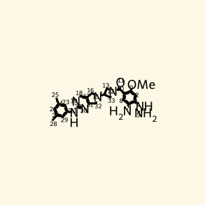 COc1cc(NN)c(N)cc1C(=O)N1CC(N2Cc3cnc(Nc4cc(C)cc(C)c4)nc3C2)C1